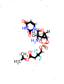 CC(C)OC(=O)CC(F)(F)CO[P@@]1(=O)OC2[C@H]3O[C@@H](n4ccc(=O)[nH]c4=O)[C@](C)(N)[C@@]23O1